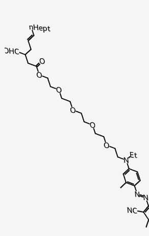 CCCCCCC/C=C/CC(C=O)CC(=O)OCCOCCOCCOCCOCCN(CC)c1ccc(/N=N/c2sc(C#N)c(C)c2C#N)c(C)c1